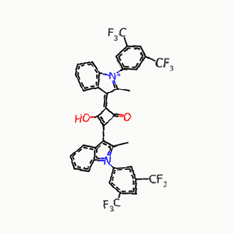 CC1=[N+](c2cc(C(F)(F)F)cc(C(F)(F)F)c2)c2ccccc2/C1=C1/C(=O)C(c2c(C)n(-c3cc(C(F)(F)F)cc(C(F)(F)F)c3)c3ccccc23)=C1O